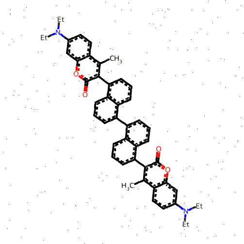 CCN(CC)c1ccc2c(C)c(-c3cccc4c(-c5cccc6c(-c7c(C)c8ccc(N(CC)CC)cc8oc7=O)cccc56)cccc34)c(=O)oc2c1